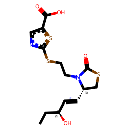 CC[C@H](O)/C=C/[C@H]1CSC(=O)N1CCSc1ncc(C(=O)O)s1